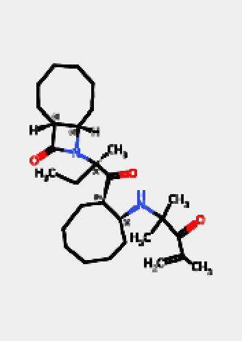 C=C(C)C(=O)C(C)(C)N[C@H]1CCCCCC[C@H]1C(=O)[C@@](C)(CC)N1C(=O)[C@@H]2CCCCCC[C@@H]21